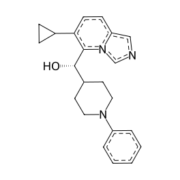 O[C@H](c1c(C2CC2)ccc2cncn12)C1CCN(c2ccccc2)CC1